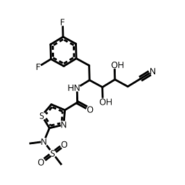 CN(c1nc(C(=O)NC(Cc2cc(F)cc(F)c2)C(O)C(O)CC#N)cs1)S(C)(=O)=O